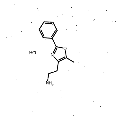 Cc1oc(-c2ccccc2)nc1CCN.Cl